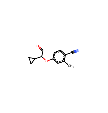 Cc1cc(OC(C=O)C2CC2)ccc1C#N